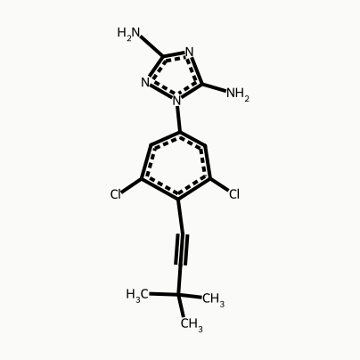 CC(C)(C)C#Cc1c(Cl)cc(-n2nc(N)nc2N)cc1Cl